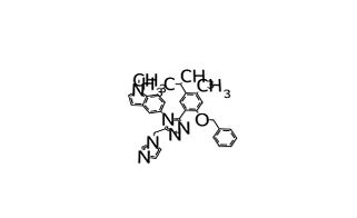 Cc1cc(OCc2ccccc2)c(-c2nnc(Cn3ccnc3)n2-c2ccc3c(ccn3C)c2)cc1C(C)C